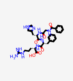 N=C(N)NCCC[C@H](NC(=O)[C@@H](Cc1ccccc1)NC(=O)[C@H](Cc1c[nH]cn1)NC(=O)CNC(=O)c1ccccc1)C(=O)O